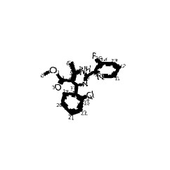 COC(=O)C1=C(C)NC(c2ncccc2F)=NC1c1ccccc1Cl